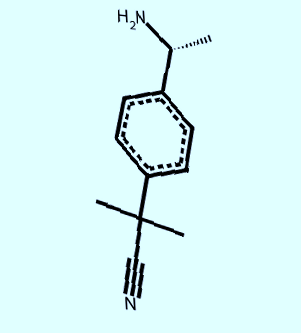 C[C@@H](N)c1ccc(C(C)(C)C#N)cc1